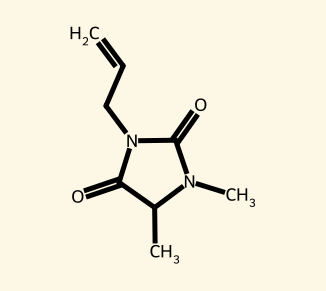 C=CCN1C(=O)C(C)N(C)C1=O